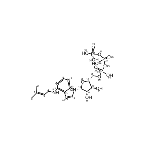 CC(C)=CCNc1ncnc2c1ncn2[C@@H]1O[C@H](COP(=O)(O)OP(=O)(O)OP(=O)(O)O)[C@@H](O)[C@H]1O